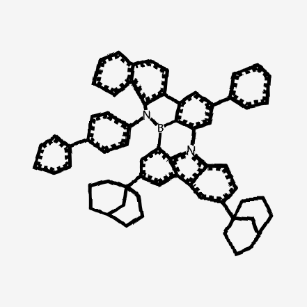 c1ccc(-c2ccc(N3B4c5c(cc(-c6ccccc6)cc5-n5c6ccc(C78CCCC(CCC7)C8)cc6c6cc(C78CCCC(CCC7)C8)cc4c65)-c4ccc5ccccc5c43)cc2)cc1